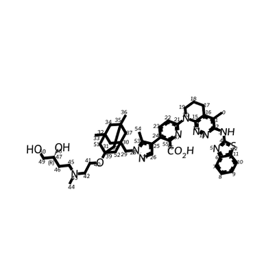 Cc1c(Nc2nc3ccccc3s2)nnc2c1CCCN2c1ccc(-c2cnn(CC34CC5(C)CC(C)(C3)CC(OCCN(C)CC[C@@H](O)CO)(C5)C4)c2C)c(C(=O)O)n1